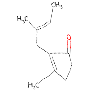 CC=C(C)CC1=C(C)CCC1=O